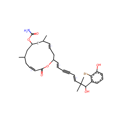 CC1/C=C/CC(/C=C/C#C/C=C/C(C)(C)C(O)c2cccc(O)c2Br)OC(=O)/C=C\CC(C)CC(OC(N)=O)C1